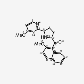 COc1ccnc(C2CCC(C(=O)c3c(OC)ccc4ccccc34)N2)n1